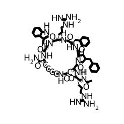 CC(=O)N[C@H](CCCNC(=N)N)C(=O)N[C@H]1CC(=O)NCCCC[C@@H](C(N)=O)NC(=O)[C@H](Cc2c[nH]c3ccccc23)NC(=O)[C@H](CCCNC(=N)N)NC(=O)[C@@H](Cc2ccccc2)NC(=O)[C@@H]2CC(Cc3ccccc3)CN2C1=O